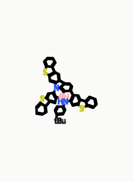 CC(C)(C)c1ccc(Nc2cc3sc4ccccc4c3cc2-c2ccc3c4cc5c(cc4n4c3c2Bc2cc3c(cc2-4)sc2ccccc23)sc2ccccc25)cc1